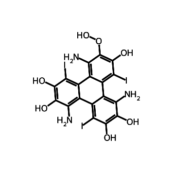 Nc1c(O)c(O)c(I)c2c1c1c(I)c(O)c(O)c(N)c1c1c(I)c(O)c(OO)c(N)c21